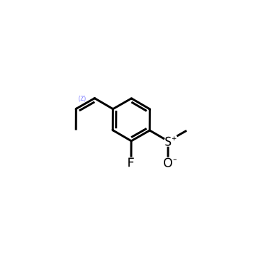 C/C=C\c1ccc([S+](C)[O-])c(F)c1